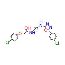 OC(COc1ccc(Cl)cc1)NC12CC(Nc3nnc(-c4ccc(Cl)cc4)o3)(C1)C2